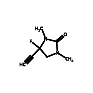 C#CC1(F)CN(C)C(=O)N1C